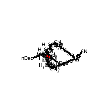 CCCCCCCCCCCCCCCC(=O)NCC(C)(C)COCC(C)(C)CNC(=O)CC(C)(C)COCC(C)(C)CNC(=O)CCOCCOCCOCCOCCN(CCOCCOCCOCCOCCC(=O)NCC(C)(C)COCC(C)(C)CC(=O)NCC(C)(C)COCC(C)(C)CNC(=O)CCCCCCCCCCCCCCC)C(=O)c1ccc(C#CC#N)cc1